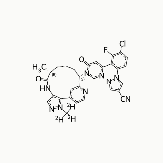 [2H]C([2H])([2H])n1ncc2c1-c1ccnc(c1)[C@@H](n1cnc(-c3c(-n4cc(C#N)cn4)ccc(Cl)c3F)cc1=O)CCC[C@@H](C)C(=O)N2